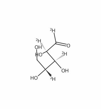 [2H]C(=O)[C@]([2H])(O)[C@@]([2H])(O)[C@]([2H])(O)CO